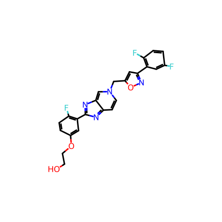 OCCOc1ccc(F)c(-c2nc3ccn(Cc4cc(-c5cc(F)ccc5F)no4)cc-3n2)c1